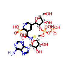 Nc1ncnc2c1ncn2[C@@H]1O[C@H](COP(=O)(O[C@H]2C(c3cnc(P(=O)(O)O)c(C(=O)N=S)c3)O[C@H](CO)[C@H]2O)OP(=O)(O)O)[C@@H](O)[C@H]1O